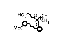 COc1cccc(CCCCc2ccccc2OCC(CN(C)C)OC(=O)CCC(=O)O)c1